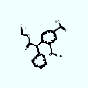 CCOC(=S)N(c1ccccc1)c1ccc(C(=O)O)cc1C(=O)O